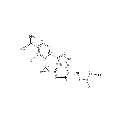 CCOC(C)CNc1nccn2c(-c3ccc(C(N)=O)c(C)c3C3CC3)cnc12